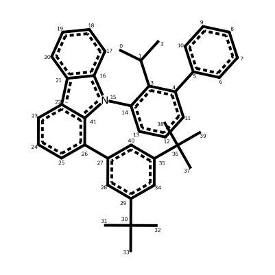 CC(C)c1c(-c2ccccc2)cccc1-n1c2ccccc2c2cccc(-c3cc(C(C)(C)C)cc(C(C)(C)C)c3)c21